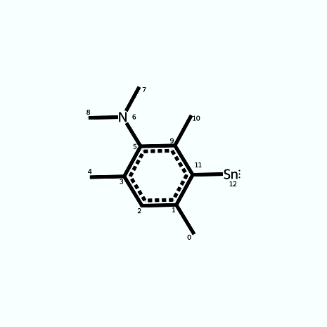 Cc1cc(C)c(N(C)C)c(C)[c]1[Sn]